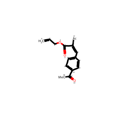 C=CCOC(=O)/C(=C\c1ccc(C(=O)OC)cc1)C(C)=O